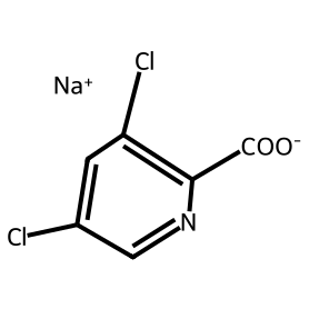 O=C([O-])c1ncc(Cl)cc1Cl.[Na+]